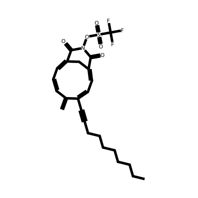 C=C1/C=C\C=C2/C/C(=C\C=C/1C#CCCCCCCCC)C(=O)N(OS(=O)(=O)C(F)(F)F)C2=O